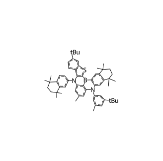 Cc1cc(N2c3cc4c(cc3B3c5sc6cc(C(C)(C)C)ccc6c5N(c5ccc6c(c5)C(C)(C)CCC6(C)C)c5cc(C)cc2c53)C(C)(C)CCC4(C)C)cc(C(C)(C)C)c1